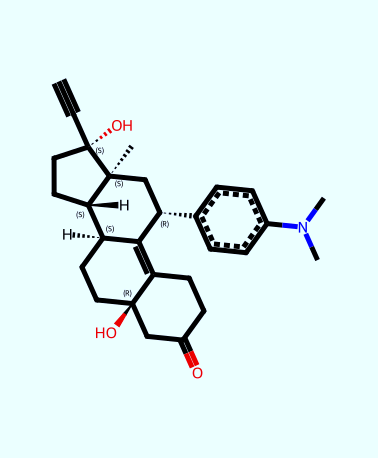 C#C[C@]1(O)CC[C@H]2[C@@H]3CC[C@@]4(O)CC(=O)CCC4=C3[C@@H](c3ccc(N(C)C)cc3)C[C@@]21C